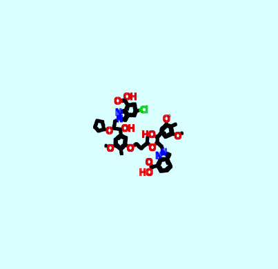 COc1cc(C(O)C(Cn2cc3cccc(C(=O)O)c3n2)OC(C)CCOc2cc(C(O)C(Cn3cc4cc(Cl)cc(C(=O)O)c4n3)OC3CCCC3)cc(OC)c2C)cc(OC)c1C